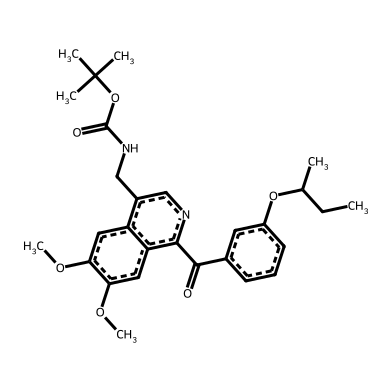 CCC(C)Oc1cccc(C(=O)c2ncc(CNC(=O)OC(C)(C)C)c3cc(OC)c(OC)cc23)c1